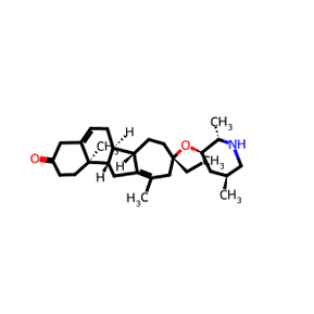 CC[C@]1(O[C@@H]2C[C@H](C)CN[C@H]2C)CC[C@@H]2C(=C(C)C1)C[C@H]1[C@H]2CC=C2CC(=O)CC[C@@]21C